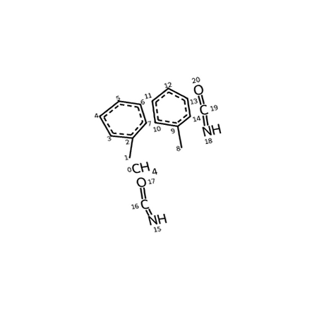 C.Cc1ccccc1.Cc1ccccc1.N=C=O.N=C=O